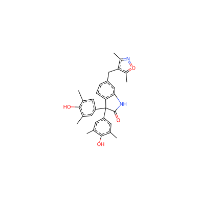 Cc1cc(C2(c3cc(C)c(O)c(C)c3)C(=O)Nc3cc(Cc4c(C)noc4C)ccc32)cc(C)c1O